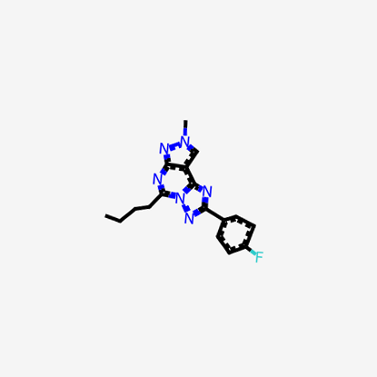 CCCCc1nc2nn(C)cc2c2nc(-c3ccc(F)cc3)nn12